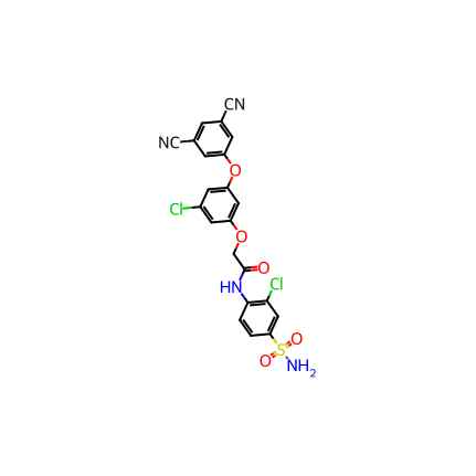 N#Cc1cc(C#N)cc(Oc2cc(Cl)cc(OCC(=O)Nc3ccc(S(N)(=O)=O)cc3Cl)c2)c1